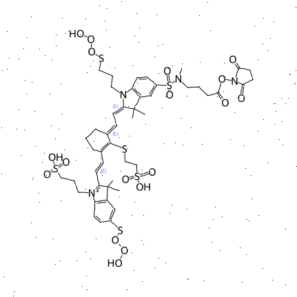 CN(CCCC(=O)ON1C(=O)CCC1=O)S(=O)(=O)c1ccc2c(c1)C(C)(C)/C(=C\C=C1/CCCC(/C=C/C3=[N+](CCCS(=O)(=O)O)c4ccc(SOOO)cc4C3(C)C)=C1SCCS(=O)(=O)O)N2CCCSOOO